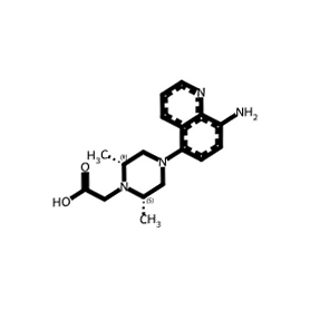 C[C@@H]1CN(c2ccc(N)c3ncccc23)C[C@H](C)N1CC(=O)O